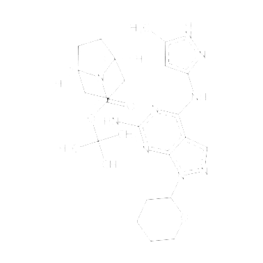 Cc1cc(Nc2nc(N[C@@H]3C[C@H]4CC[C@@H](C3)N4C(=O)OC(C)(C)C)nc3c2cnn3C2CCCCO2)n[nH]1